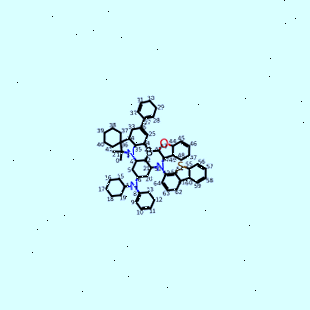 CC1(C)N2C3CC(N(C4=CC=CCC4)C4CCCCC4)CC4C3B(C3C=C(C5=CCCC=C5)CC(C32)C12CCCCC2)C1OC2C=CCCC2C1N4C1=C2SC3C=CC=CC3C2CC=C1